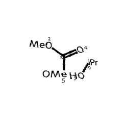 CC(C)O.COC(=O)OC